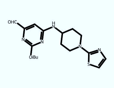 CC(C)COc1nc(C=O)cc(NC2CCN(c3nccs3)CC2)n1